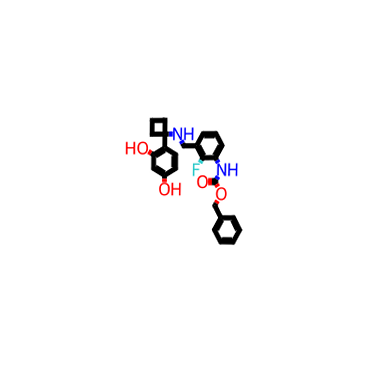 O=C(Nc1cccc(CNC2(c3ccc(O)cc3O)CCC2)c1F)OCc1ccccc1